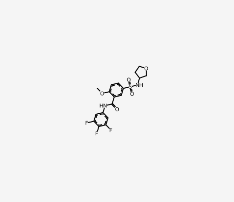 COc1ccc(S(=O)(=O)NC2CCOC2)cc1C(=O)Nc1cc(F)c(F)c(F)c1